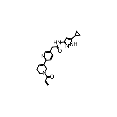 C=CC(=O)N1CCC=C(c2ccc(CC(=O)Nc3cc(C4CC4)[nH]n3)cn2)C1